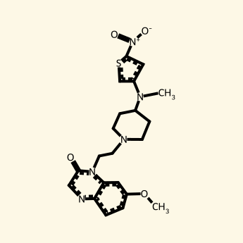 COc1ccc2ncc(=O)n(CCN3CCC(N(C)c4csc([N+](=O)[O-])c4)CC3)c2c1